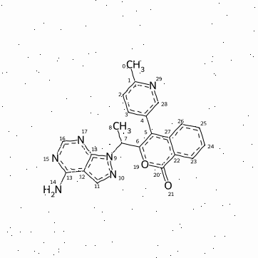 Cc1ccc(-c2c(C(C)n3ncc4c(N)ncnc43)oc(=O)c3ccccc23)cn1